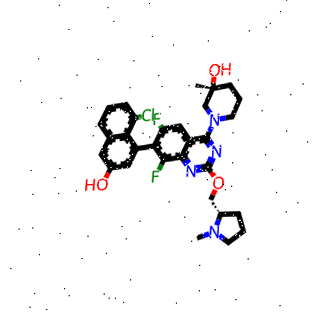 CN1CCC[C@H]1COc1nc(N2CCC[C@@](C)(O)C2)c2cc(F)c(-c3cc(O)cc4cccc(Cl)c34)c(F)c2n1